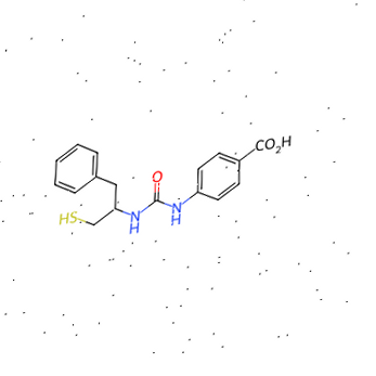 O=C(Nc1ccc(C(=O)O)cc1)NC(CS)Cc1ccccc1